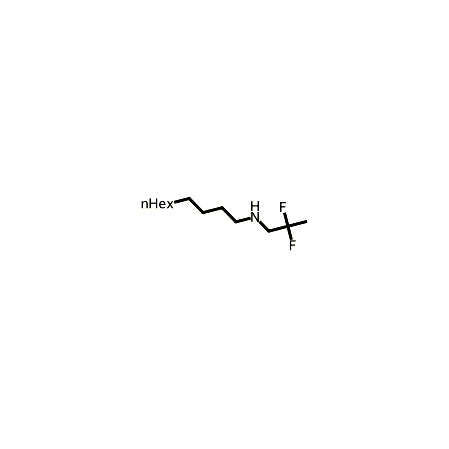 CCCCCCCCCCNCC(C)(F)F